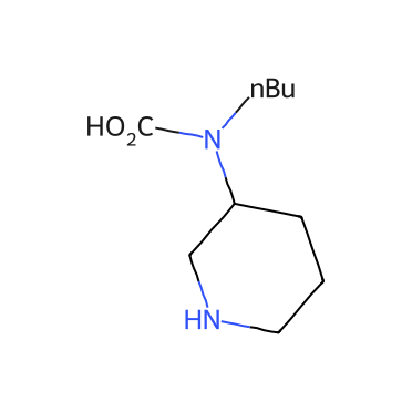 CCCCN(C(=O)O)C1CCCNC1